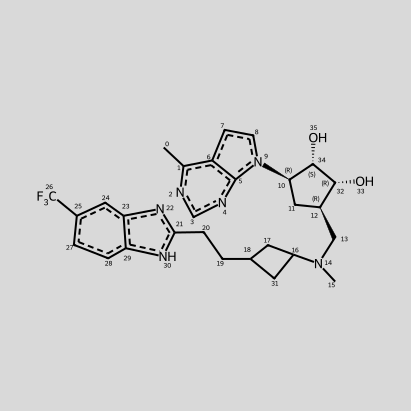 Cc1ncnc2c1ccn2[C@@H]1C[C@H](CN(C)C2CC(CCc3nc4cc(C(F)(F)F)ccc4[nH]3)C2)[C@@H](O)[C@H]1O